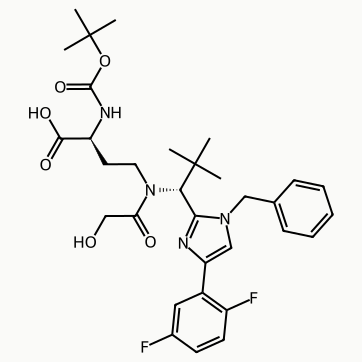 CC(C)(C)OC(=O)N[C@@H](CCN(C(=O)CO)[C@@H](c1nc(-c2cc(F)ccc2F)cn1Cc1ccccc1)C(C)(C)C)C(=O)O